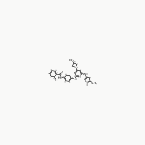 CC1CC(Nc2cc(N3CC(O)C3)nc(Sc3ccc(NC(=O)c4ccccc4Cl)cc3)n2)=NN1